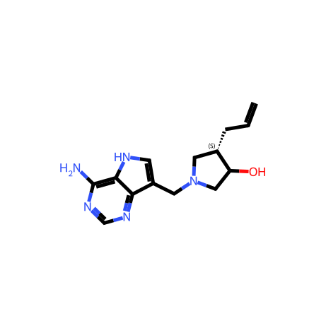 C=CC[C@H]1CN(Cc2c[nH]c3c(N)ncnc23)CC1O